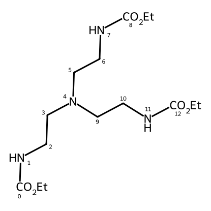 CCOC(=O)NCCN(CCNC(=O)OCC)CCNC(=O)OCC